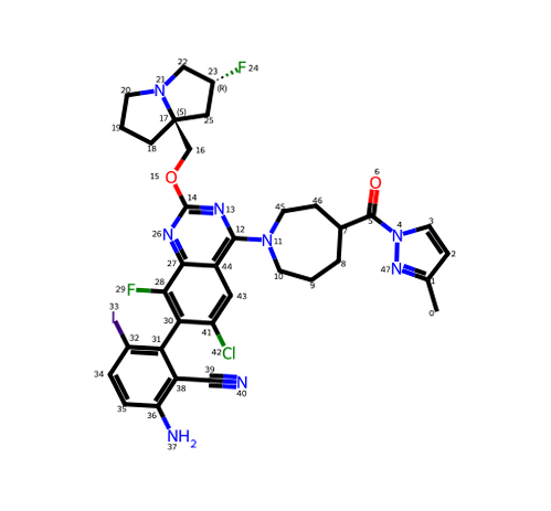 Cc1ccn(C(=O)C2CCCN(c3nc(OC[C@@]45CCCN4C[C@H](F)C5)nc4c(F)c(-c5c(I)ccc(N)c5C#N)c(Cl)cc34)CC2)n1